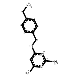 Cc1cc(OCc2ccc(CN)cc2)nc(N)n1